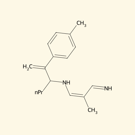 C=C(c1ccc(C)cc1)C(CCC)N/C=C(/C)C=N